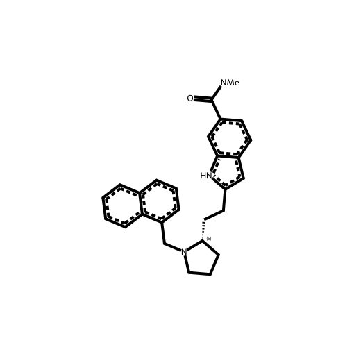 CNC(=O)c1ccc2cc(CC[C@@H]3CCCN3Cc3cccc4ccccc34)[nH]c2c1